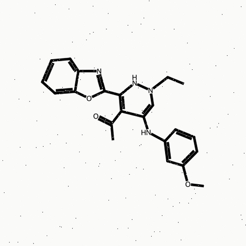 CCN1C=C(Nc2cccc(OC)c2)C(C(C)=O)=C(c2nc3ccccc3o2)N1